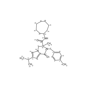 Cc1ccc(CN2C(=O)c3cc(C(C)C)nn3CC2(C)C(=O)NC2CCCCCCC2)cc1